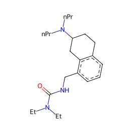 CCCN(CCC)C1CCc2cccc(CNC(=O)N(CC)CC)c2C1